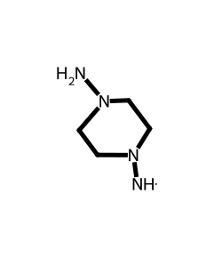 [NH]N1CCN(N)CC1